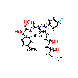 CSc1ccc([C@H](O)C(CO)NC(=O)c2nc(-c3ccc(F)cc3)n(CC[C@@H](O)C[C@@H](O)CC(=O)O)c2C(C)C)cc1